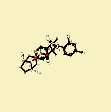 CC(C)(Oc1ccc(F)cc1Cl)C(=O)N[C@H]1C[C@H]2CC[C@@H](C1)N2c1ccc(S(C)(=O)=O)cn1